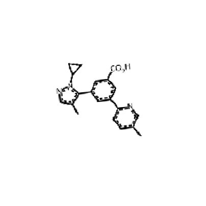 Cc1ccc(-c2cc(C(=O)O)cc(-c3c(C)cnn3C3CC3)c2)nc1